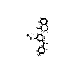 CCc1cc(N2CCc3ccccc3C2C)nc(Nc2ccc(F)cc2)n1.Cl